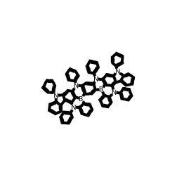 c1ccc(N2c3cc4c(cc3B3c5ccccc5N(c5ccccc5)c5c3c2cc2c5c3ccccc3n2-c2ccccc2)B2c3ccccc3N(c3ccccc3)c3c2c(cc2c3c3ccccc3n2-c2ccccc2)N4c2ccccc2)cc1